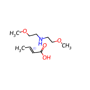 C/C=C/C(=O)O.COCCNCCOC